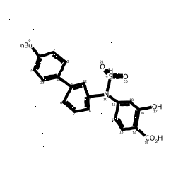 CCCCc1ccc(-c2cccc(N(c3ccc(C(=O)O)c(O)c3)[SH](=O)=O)c2)cc1